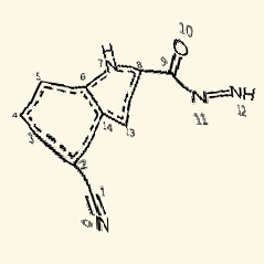 N#Cc1cccc2[nH]c(C(=O)N=N)cc12